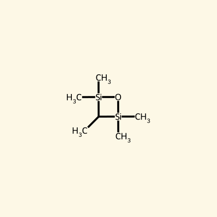 CC1[Si](C)(C)O[Si]1(C)C